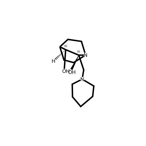 O[C@H]1C2CCN(CC2)[C@]1(O)CN1CCCCC1